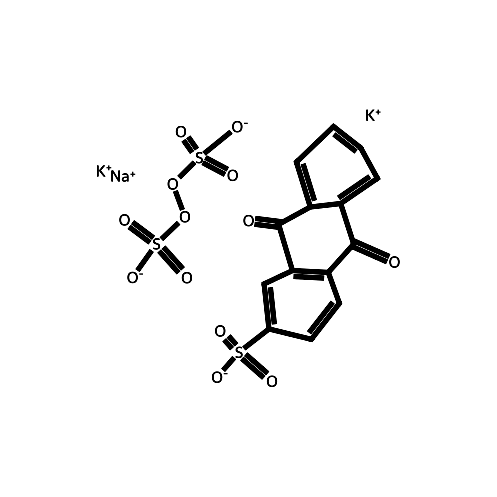 O=C1c2ccccc2C(=O)c2cc(S(=O)(=O)[O-])ccc21.O=S(=O)([O-])OOS(=O)(=O)[O-].[K+].[K+].[Na+]